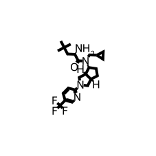 CC(C)(C)C[C@H](N)C(=O)N(CC1CC1)[C@H]1CC[C@@H]2CN(c3ccc(C(F)(F)F)cn3)C[C@@H]21